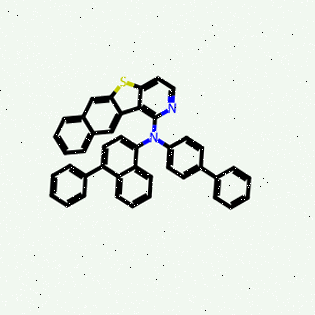 c1ccc(-c2ccc(N(c3ccc(-c4ccccc4)c4ccccc34)c3nccc4sc5cc6ccccc6cc5c34)cc2)cc1